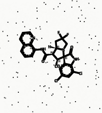 O=C(Nc1cccc2cccnc12)[C@H]1[C@H]2CC(F)(F)CN2[C@]2(C(=O)Nc3c(Cl)cc(Cl)cc32)[C@H]1C(=O)O